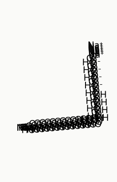 O=C(O)OO.O=C(O)OO.O=C(O)OO.O=C(O)OO.O=C(O)OO.O=C(O)OO.O=C(O)OO.O=C(O)OO.O=C(O)OO.O=C([O-])OO.O=C([O-])OO.O=C([O-])OO.O=C([O-])OO.O=C([O-])OO.O=C([O-])OO.O=C([O-])OO.O=C([O-])OO.O=C([O-])OO.O=C([O-])OO.O=C([O-])OO.O=C([O-])OO.O=C([O-])OO.[Na+].[Na+].[Na+].[Na+].[Na+].[Na+].[Na+].[Na+].[Na+].[Na+].[Na+].[Na+].[Na+]